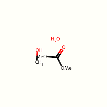 CO.COC(=O)OC.O